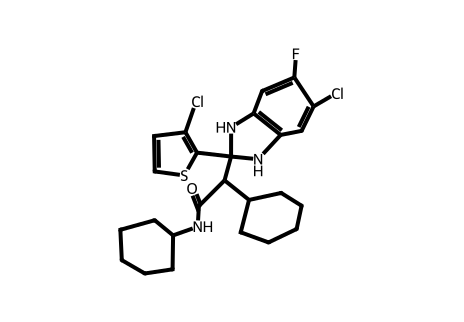 O=C(NC1CCCCC1)C(C1CCCCC1)C1(c2sccc2Cl)Nc2cc(F)c(Cl)cc2N1